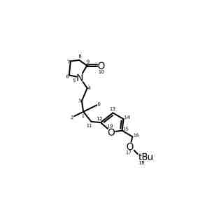 CC(C)(CCN1CCCC1=O)Cc1ccc(COC(C)(C)C)o1